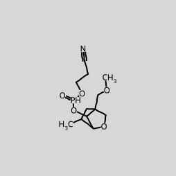 COCC12COC(C(C)C1)C2O[PH](=O)OCCC#N